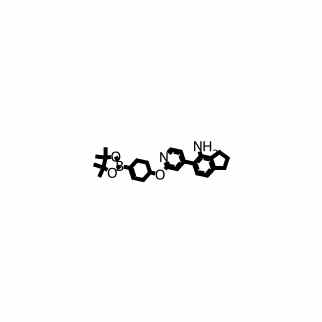 CC1(C)OB(C2=CCC(Oc3cc(-c4ccc5c(c4N)CCC5)ccn3)CC2)OC1(C)C